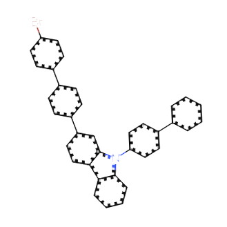 Brc1ccc(-c2ccc(-c3ccc4c5ccccc5n(-c5ccc(-c6ccccc6)cc5)c4c3)cc2)cc1